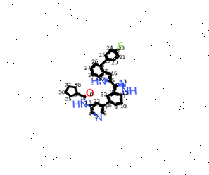 O=C(Nc1cncc(-c2ccc3[nH]nc(-c4cc5c(-c6ccc(F)cc6)cccc5[nH]4)c3c2)c1)C1CCCC1